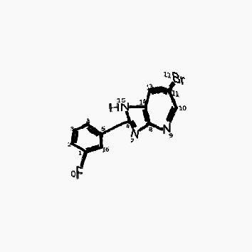 Fc1cccc(-c2nc3ncc(Br)cc3[nH]2)c1